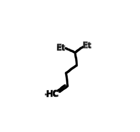 [CH]=CCCC(CC)CC